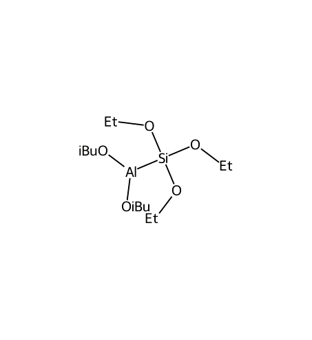 CCO[Si](OCC)(OCC)[Al]([O]CC(C)C)[O]CC(C)C